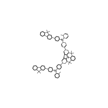 Cc1ccccc1N(c1ccc(-c2ccc3c(c2)C(C)(C)c2ccccc2-3)cc1)c1ccc(C2C=c3c4c5n6c3=C(C2)C(C)(C)c2cccc(c2-6)C(C)(C)C=5CC(C2=CCC(N(c3ccc(-c5ccc6c(c5)C(C)(C)c5ccccc5-6)cc3)C3C=CC=CC3C)C=C2)C=4)cc1